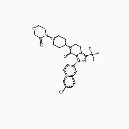 O=C1c2c(c(C(F)(F)F)nn2-c2ccc3cc(Cl)ccc3c2)CCN1C1CCN(N2CCOCC2=O)CC1